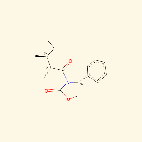 CC[C@H](C)[C@@H](C)C(=O)N1C(=O)OC[C@H]1c1ccccc1